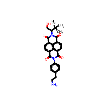 CC(C)(C)C(CO)N1C(=O)c2ccc3c4c(ccc(c24)C1=O)C(=O)N(c1ccc(CCN)cc1)C3=O